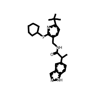 CC(C(=O)NCc1ccc(C(C)(C)C)nc1SC1CCCCC1)c1ccc2[nH]ncc2c1